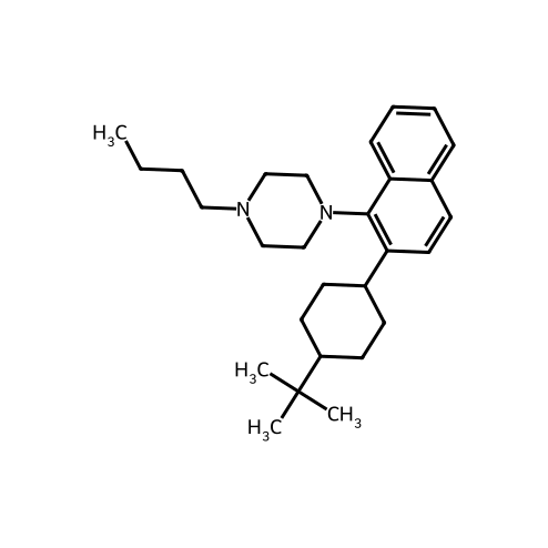 CCCCN1CCN(c2c(C3CCC(C(C)(C)C)CC3)ccc3ccccc23)CC1